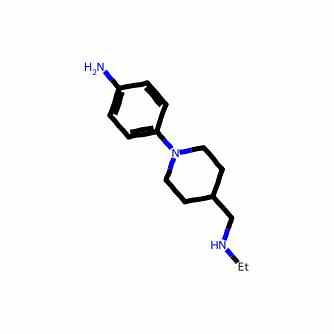 CCNCC1CCN(c2ccc(N)cc2)CC1